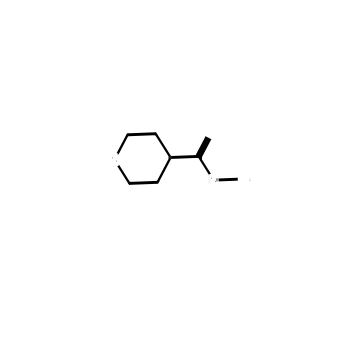 CC(C)(C)NC(=O)C1CCNCC1.Cl